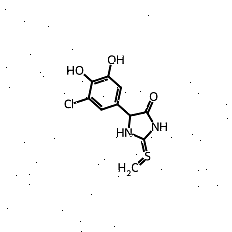 C=S=C1NC(=O)C(c2cc(O)c(O)c(Cl)c2)N1